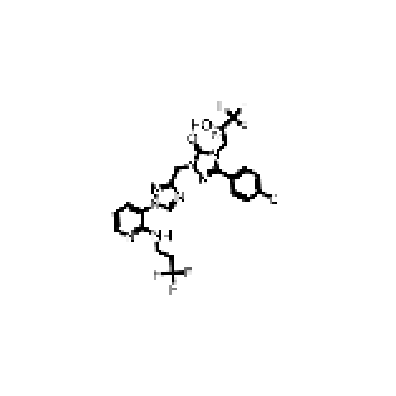 O=c1n(Cc2ncn(-c3cccnc3NCCC(F)(F)F)n2)nc(-c2ccc(Cl)cc2)n1C[C@H](O)C(F)(F)F